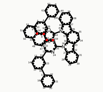 c1ccc(-c2cccc(-c3nc(-c4cccc(-c5ccccc5)c4)nc(-n4c5ccccc5c5ccc6c7ccccc7n(-c7nc8ccc9ccccc9c8o7)c6c54)n3)c2)cc1